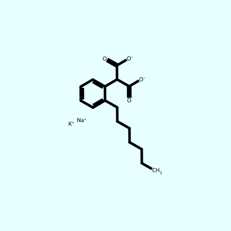 CCCCCCCc1ccccc1C(C(=O)[O-])C(=O)[O-].[K+].[Na+]